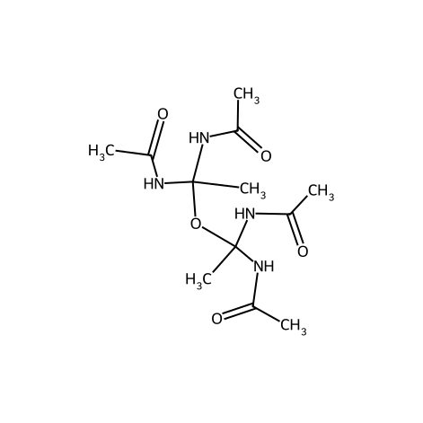 CC(=O)NC(C)(NC(C)=O)OC(C)(NC(C)=O)NC(C)=O